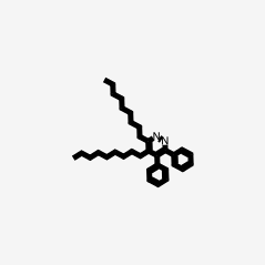 CCCCCCCCCc1nnc(-c2ccccc2)c(-c2ccccc2)c1CCCCCCCCC